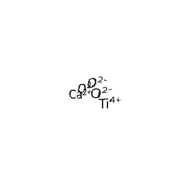 [Ca+2].[O-2].[O-2].[O-2].[Ti+4]